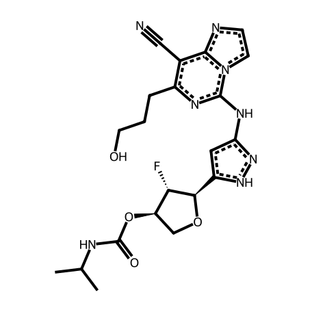 CC(C)NC(=O)O[C@@H]1CO[C@H](c2cc(Nc3nc(CCCO)c(C#N)c4nccn34)n[nH]2)[C@H]1F